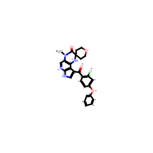 CN1C(=O)C2(CCOCC2)Nc2c1cnc1[nH]cc(C(=O)c3ccc(Oc4ccccc4)cc3Cl)c21